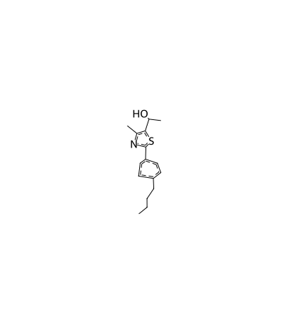 CCCCc1ccc(-c2nc(C)c(C(C)O)s2)cc1